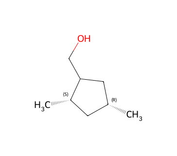 C[C@H]1CC(CO)[C@@H](C)C1